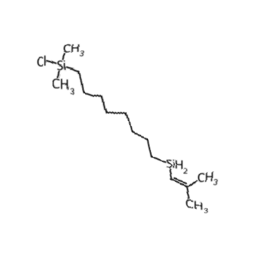 CC(C)=C[SiH2]CCCCCCCC[Si](C)(C)Cl